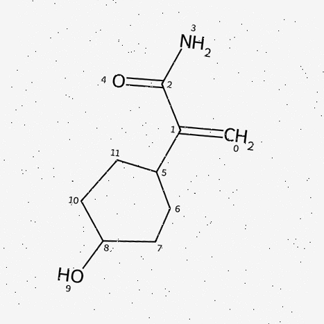 C=C(C(N)=O)C1CCC(O)CC1